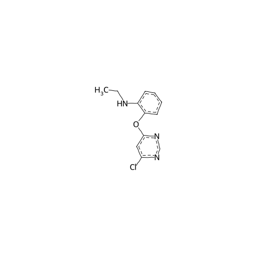 CCNc1ccccc1Oc1cc(Cl)ncn1